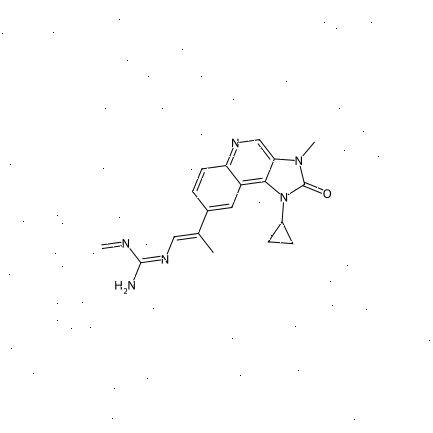 C=N/C(N)=N\C=C(/C)c1ccc2ncc3c(c2c1)n(C1CC1)c(=O)n3C